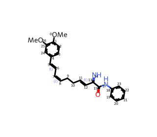 COc1ccc(/C=C/C=C\CC/C=C/C(=N)C(=O)Nc2ccccc2)cc1OC